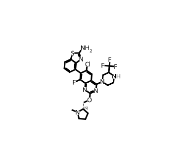 CN1CCC[C@H]1COc1nc(N2CCNC(C(F)(F)F)C2)c2cc(Cl)c(-c3cccc4sc(N)nc34)c(F)c2n1